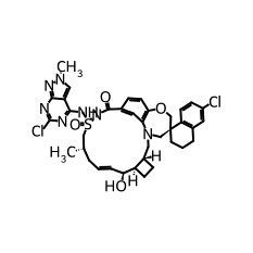 C[C@H]1C/C=C/[C@H](O)[C@@H]2CC[C@H]2CN2C[C@@]3(CCCc4cc(Cl)ccc43)COc3ccc(cc32)C(=O)N=[S@](=O)(Nc2nc(Cl)nc3nn(C)cc23)C1